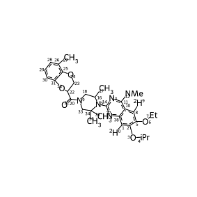 [2H]c1c(OC(C)C)c(OCC)c([2H])c2c(NC)nc(N3C(C)CN(C(=O)C4COc5c(C)cccc5O4)CC3(C)C)nc12